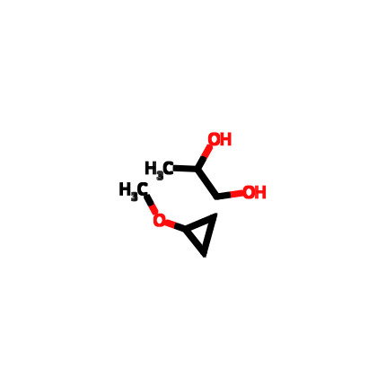 CC(O)CO.COC1CC1